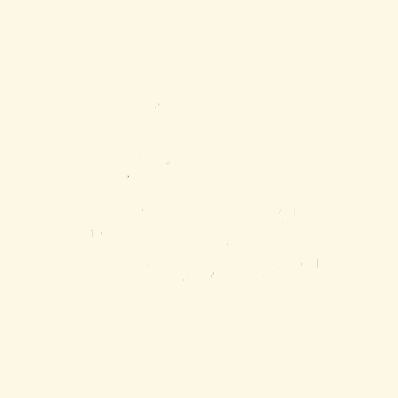 CC(CCOc1ccc(C(=O)O)c(C(=O)O)c1)OCc1ccccc1